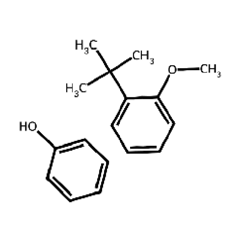 COc1ccccc1C(C)(C)C.Oc1ccccc1